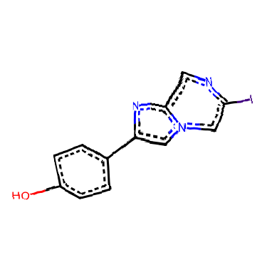 Oc1ccc(-c2cn3cc(I)ncc3n2)cc1